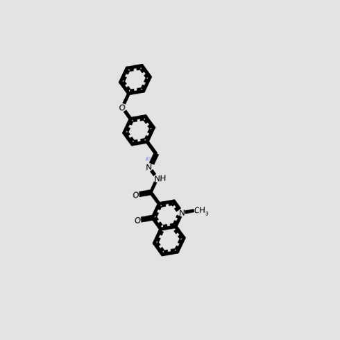 Cn1cc(C(=O)N/N=C/c2ccc(Oc3ccccc3)cc2)c(=O)c2ccccc21